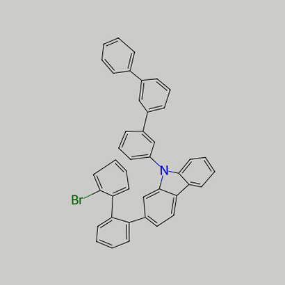 Brc1ccccc1-c1ccccc1-c1ccc2c3ccccc3n(-c3cccc(-c4cccc(-c5ccccc5)c4)c3)c2c1